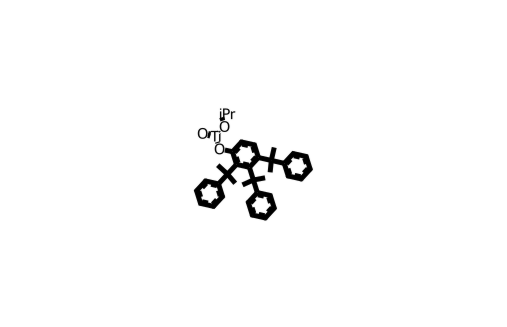 CC(C)[O][Ti](=[O])[O]c1ccc(C(C)(C)c2ccccc2)c(C(C)(C)c2ccccc2)c1C(C)(C)c1ccccc1